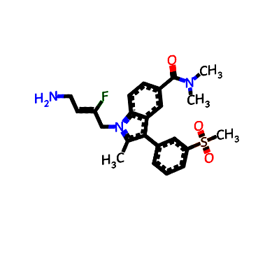 Cc1c(-c2cccc(S(C)(=O)=O)c2)c2cc(C(=O)N(C)C)ccc2n1CC(F)=CCN